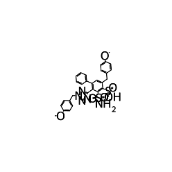 COc1ccc(Cc2cc(-c3ccccc3)c(-c3nnn(Cc4ccc(OC)cc4)n3)c(S(N)(=O)=O)c2S(=O)O)cc1